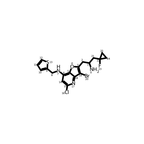 NC(Cc1oc2c(NCc3cccs3)cc(Cl)nc2c1Br)CC1(F)CC1